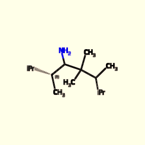 CC(C)C(C)C(C)(C)C(N)[C@H](C)C(C)C